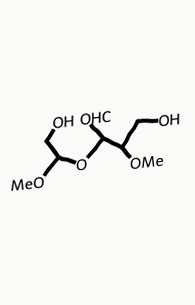 COC(CO)OC(C=O)C(CO)OC